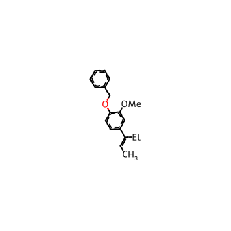 C/C=C(\CC)c1ccc(OCc2ccccc2)c(OC)c1